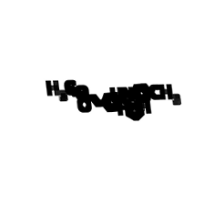 CCOC(=O)CCc1ccc([C@@H]2Nc3ccc(C)cc3[C@@H]3CCC[C@@H]32)cc1